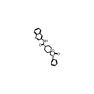 O=C1O[C@]2(CC[C@H](C(=O)Nc3cnc4ccccc4c3)CC2)CN1c1ccccc1